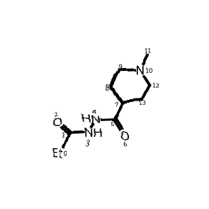 CCC(=O)NNC(=O)C1CCN(C)CC1